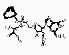 CC(C)OC(=O)[C@@H](C)NP(=O)(OC[C@H]1O[C@@H](n2cnc3c(=O)[nH]c(N)nc32)C(N=[N+]=[N-])[C@@H]1O)Oc1ccccc1